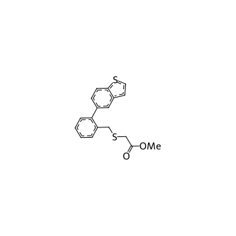 COC(=O)CSCc1ccccc1-c1ccc2sccc2c1